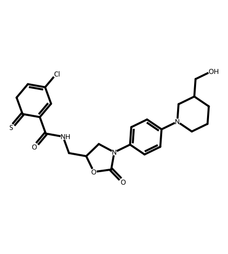 O=C(NCC1CN(c2ccc(N3CCCC(CO)C3)cc2)C(=O)O1)C1=CC(Cl)=CCC1=S